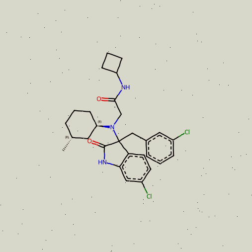 C[C@@H]1CCC[C@@H](N(CC(=O)NC2CCC2)C2(Cc3cccc(Cl)c3)C(=O)Nc3cc(Cl)ccc32)C1